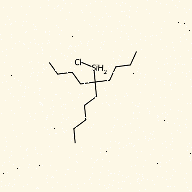 CCCCCC(CCCC)(CCCC)[SiH2]Cl